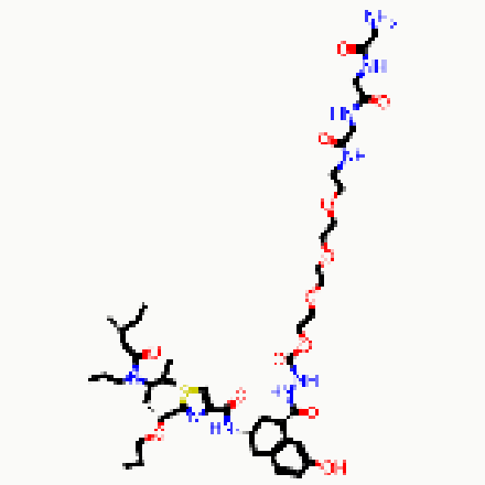 CCCO[C@H](CC(C(C)C)N(CCC)C(=O)C[C@@H](C)CC)c1nc(C(=O)N[C@H]2Cc3ccc(O)cc3[C@H](C(=O)NNC(=O)OCCOCCOCCOCCNC(=O)CNC(=O)CNC(=O)CN)C2)cs1